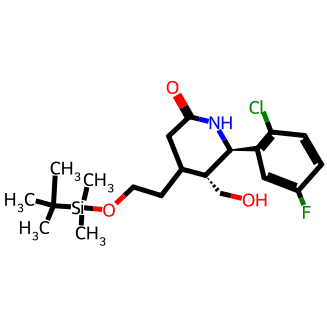 CC(C)(C)[Si](C)(C)OCCC1CC(=O)N[C@@H](c2cc(F)ccc2Cl)[C@@H]1CO